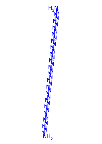 N/N=N/N=N/N=N/N=N/N=N/N=N/N=N/N=N/N=N/N=N/N=N/N=N/N=N/N=N/N=N/N=N/N=N/N=N/N=N/N